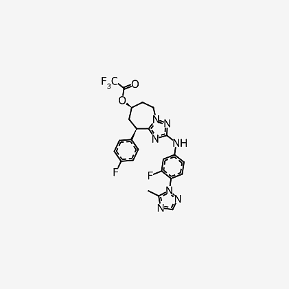 Cc1ncnn1-c1ccc(Nc2nc3n(n2)CC[C@H](OC(=O)C(F)(F)F)C[C@@H]3c2ccc(F)cc2)cc1F